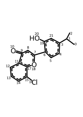 CC(C)c1ccc(-c2cc(=O)c3cccc(Cl)c3o2)c(O)c1